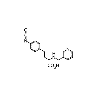 O=C=Nc1ccc(CCC(NCc2cccnc2)C(=O)O)cc1